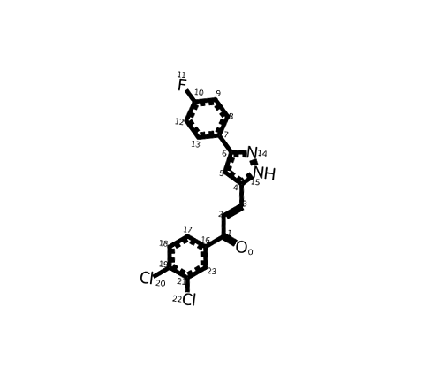 O=C(C=Cc1cc(-c2ccc(F)cc2)n[nH]1)c1ccc(Cl)c(Cl)c1